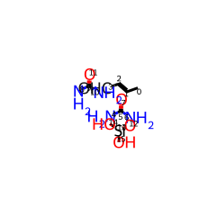 C/C=C/C=O.NC(N)=O.NC(N)=O.O=[Si](O)O